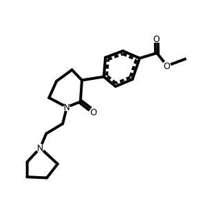 COC(=O)c1ccc(C2CCCN(CCN3CCCC3)C2=O)cc1